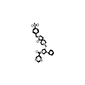 CS(=O)(=O)c1ccc(CN2CCC3(CCN(C[C@H]4CN(C(=O)c5cncnc5)C[C@@H]4c4ccccc4)CC3)C2=O)cc1